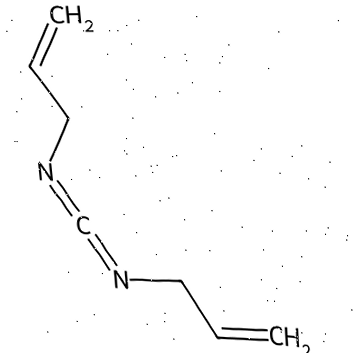 C=CCN=C=NCC=C